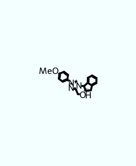 COc1ccc(-[n+]2cn3c(n2)CO[C@H]2Cc4ccccc4C23)cc1